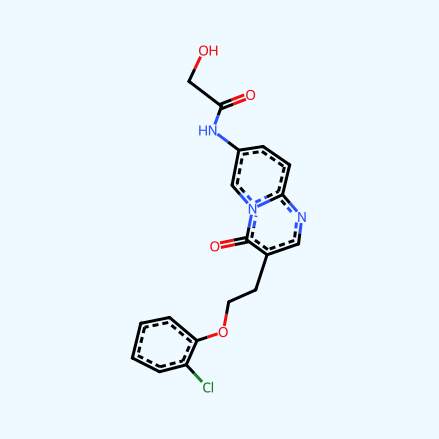 O=C(CO)Nc1ccc2ncc(CCOc3ccccc3Cl)c(=O)n2c1